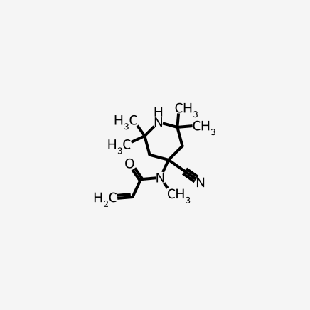 C=CC(=O)N(C)C1(C#N)CC(C)(C)NC(C)(C)C1